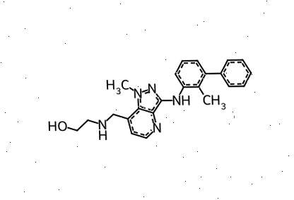 Cc1c(Nc2nn(C)c3c(CNCCO)ccnc23)cccc1-c1ccccc1